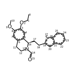 CCOc1cc2c(cc1OC)CCN([C]=O)[C@@H]2CCc1cc2ccccc2s1